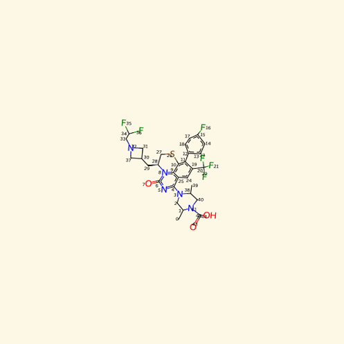 CC1CN(c2nc(=O)n3c4c(c(-c5ccc(F)cc5)c(C(F)(F)F)cc24)SC[C@@H]3CC2CN(CC(F)F)C2)C(C)CN1C(=O)O